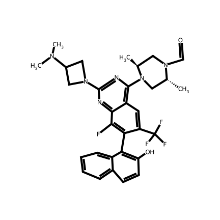 C[C@@H]1CN(c2nc(N3CC(N(C)C)C3)nc3c(F)c(-c4c(O)ccc5ccccc45)c(C(F)(F)F)cc23)[C@@H](C)CN1C=O